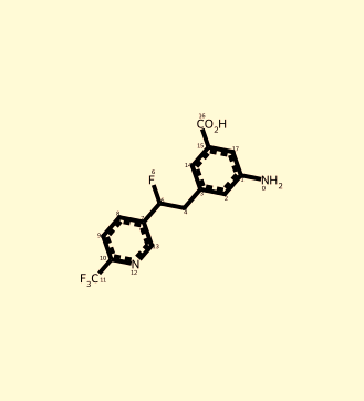 Nc1cc(CC(F)c2ccc(C(F)(F)F)nc2)cc(C(=O)O)c1